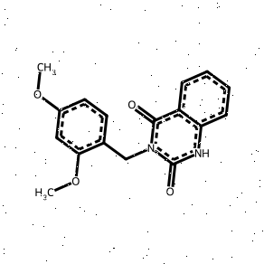 COc1ccc(Cn2c(=O)[nH]c3ccccc3c2=O)c(OC)c1